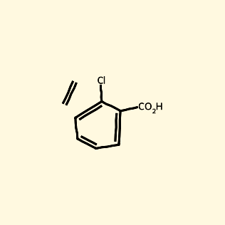 C=C.O=C(O)c1ccccc1Cl